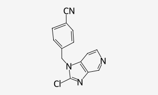 N#Cc1ccc(Cn2c(Cl)nc3cnccc32)cc1